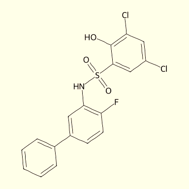 O=S(=O)(Nc1cc(-c2ccccc2)ccc1F)c1cc(Cl)cc(Cl)c1O